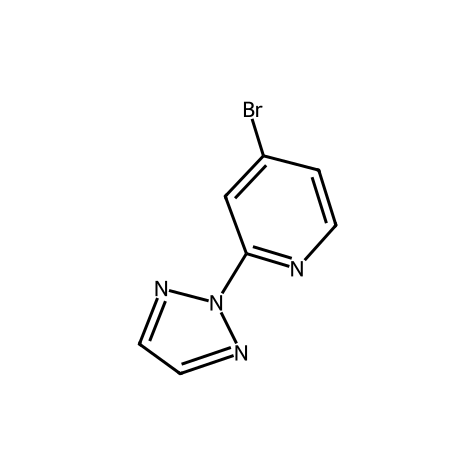 Brc1ccnc(-n2nccn2)c1